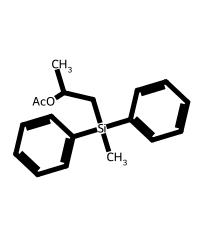 CC(=O)OC(C)C[Si](C)(c1ccccc1)c1ccccc1